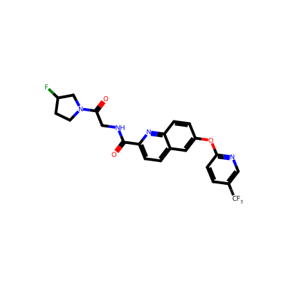 O=C(NCC(=O)N1CCC(F)C1)c1ccc2cc(Oc3ccc(C(F)(F)F)cn3)ccc2n1